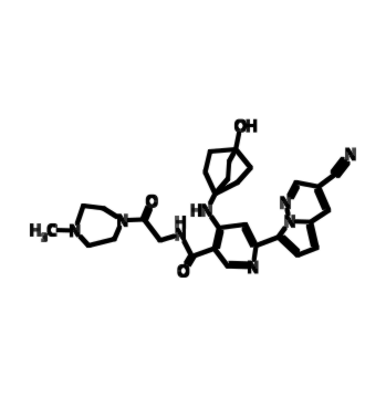 CN1CCN(C(=O)CNC(=O)c2cnc(-c3ccc4cc(C#N)cnn34)cc2NC23CCC(O)(CC2)CC3)CC1